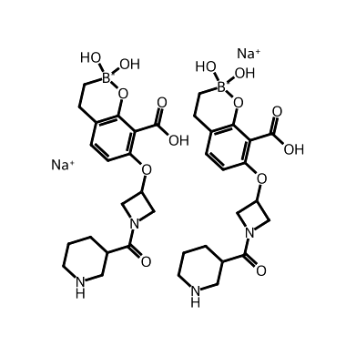 O=C(O)c1c(OC2CN(C(=O)C3CCCNC3)C2)ccc2c1O[B-](O)(O)CC2.O=C(O)c1c(OC2CN(C(=O)C3CCCNC3)C2)ccc2c1O[B-](O)(O)CC2.[Na+].[Na+]